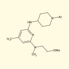 COCCN(C)c1cc(C)cc(NC2CCN(C(C)=O)CC2)n1